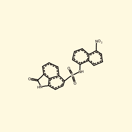 O=C1Nc2ccc(S(=O)(=O)Nc3cccc4c([N+](=O)[O-])cccc34)c3cccc1c23